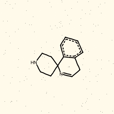 C1=NC2(CCNCC2)c2ccccc2C1